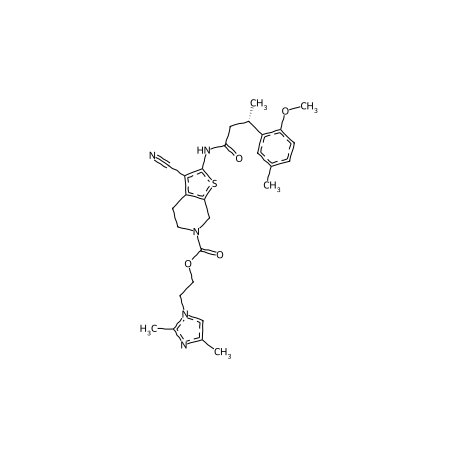 COc1ccc(C)cc1[C@@H](C)CC(=O)Nc1sc2c(c1C#N)CCN(C(=O)OCCn1cc(C)nc1C)C2